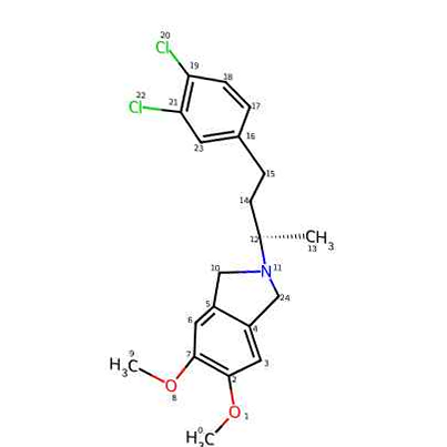 COc1cc2c(cc1OC)CN([C@@H](C)CCc1ccc(Cl)c(Cl)c1)C2